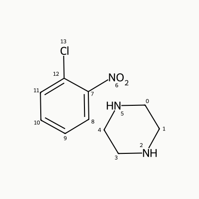 C1CNCCN1.O=[N+]([O-])c1ccccc1Cl